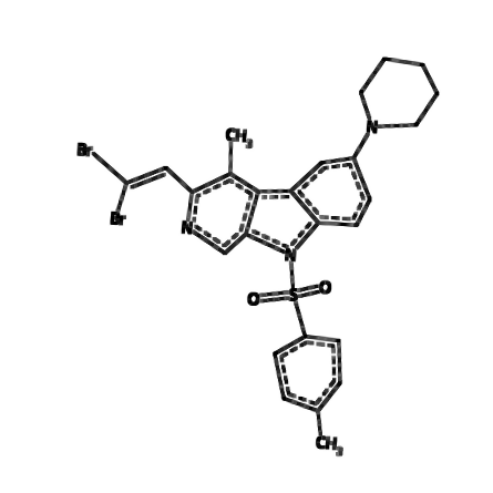 Cc1ccc(S(=O)(=O)n2c3ccc(N4CCCCC4)cc3c3c(C)c(C=C(Br)Br)ncc32)cc1